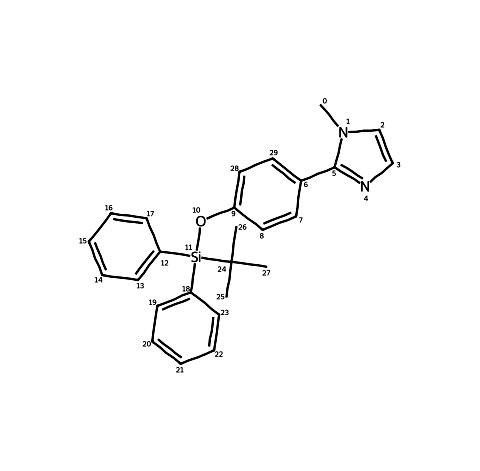 Cn1ccnc1-c1ccc(O[Si](c2ccccc2)(c2ccccc2)C(C)(C)C)cc1